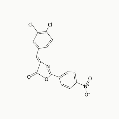 O=C1OC(c2ccc([N+](=O)[O-])cc2)=NC1=Cc1ccc(Cl)c(Cl)c1